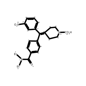 CCN(CC)C(=O)c1ccc(C(=C2CCN(C(=O)O)CC2)c2cccc([N+](=O)[O-])c2)cc1